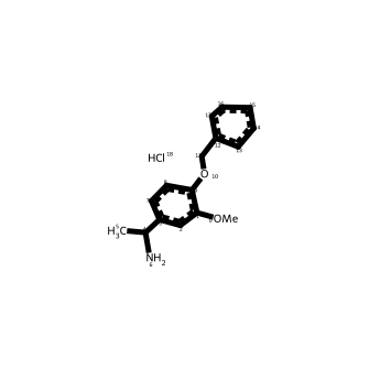 COc1cc(C(C)N)ccc1OCc1ccccc1.Cl